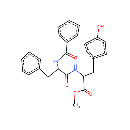 COC(=O)C(Cc1ccc(O)cc1)NC(=O)C(Cc1ccccc1)NC(=O)c1ccccc1